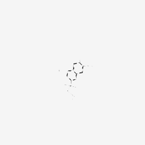 CCNCC(C)(C)c1ccc2cc(O)c(O)cc2c1.Cl